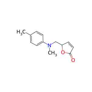 Cc1ccc(N(C)CC2C=CC(=O)O2)cc1